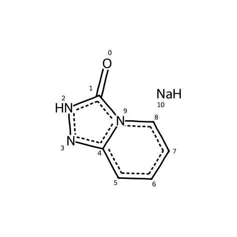 O=c1[nH]nc2ccccn12.[NaH]